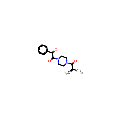 C=C(C)C(=O)N1CCN(C(=O)C(=O)c2ccccc2)CC1